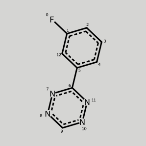 Fc1cccc(-c2nncnn2)c1